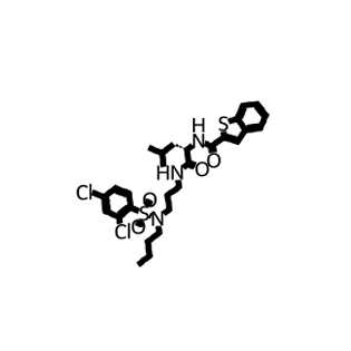 CCCCN(CCCNC(=O)[C@H](CC(C)C)NC(=O)c1cc2ccccc2s1)S(=O)(=O)c1ccc(Cl)cc1Cl